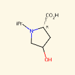 CC(C)N1CC(O)C[C@H]1C(=O)O